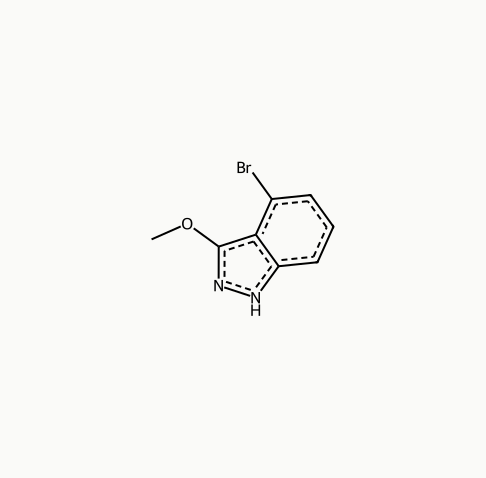 COc1n[nH]c2cccc(Br)c12